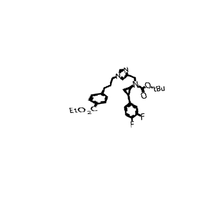 CCOC(=O)c1ccc(CCCn2cnc(CN(C(=O)OC(C)(C)C)C3CC3c3ccc(F)c(F)c3)c2)cc1